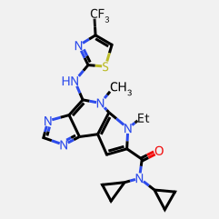 CCn1c(C(=O)N(C2CC2)C2CC2)cc2c3ncnc-3c(Nc3nc(C(F)(F)F)cs3)n(C)c21